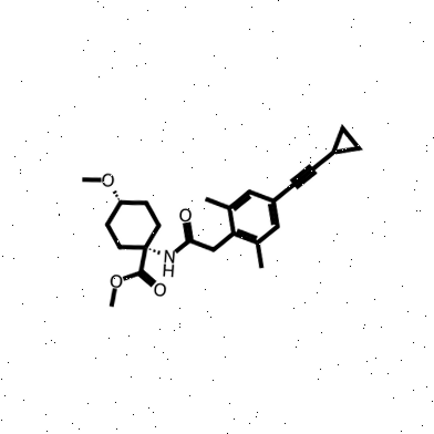 COC(=O)[C@]1(NC(=O)Cc2c(C)cc(C#CC3CC3)cc2C)CC[C@@H](OC)CC1